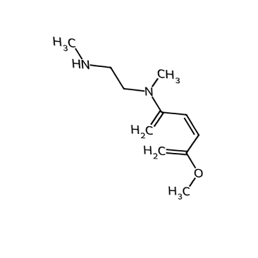 C=C(/C=C\C(=C)N(C)CCNC)OC